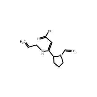 C=CCNC(=CC(=O)O)C1CCCN1C=C